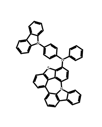 c1ccc(N(c2ccc(-n3c4ccccc4c4ccccc43)cc2)c2ccc3c4c2sc2cccc(c5cccc6c7ccccc7n3c56)c24)cc1